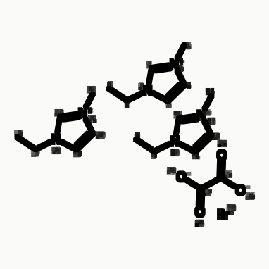 CCn1cc[n+](C)c1.CCn1cc[n+](C)c1.CCn1cc[n+](C)c1.O=C([O-])C(=O)[O-].[Br-]